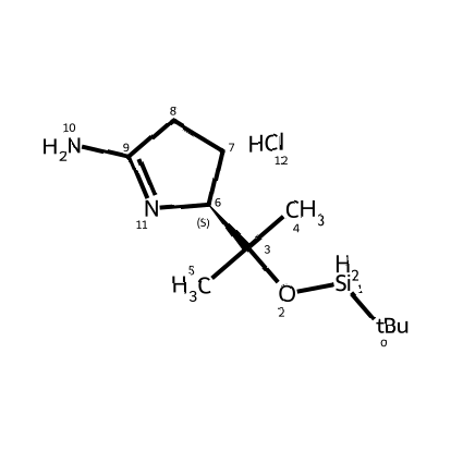 CC(C)(C)[SiH2]OC(C)(C)[C@@H]1CCC(N)=N1.Cl